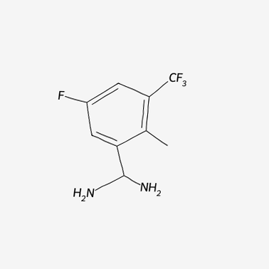 Cc1c(C(N)N)cc(F)cc1C(F)(F)F